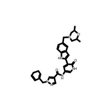 CC1CN(Cc2ccc3[nH]c(-c4cc(NC(=O)c5cnn(CC6=CCCC=C6)c5)c[nH]c4=O)cc3c2)CC(C)O1